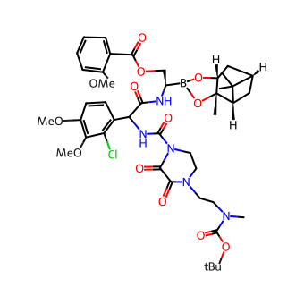 COc1ccccc1C(=O)OC[C@H](NC(=O)C(NC(=O)N1CCN(CCN(C)C(=O)OC(C)(C)C)C(=O)C1=O)c1ccc(OC)c(OC)c1Cl)B1O[C@@H]2C[C@@H]3C[C@@H](C3(C)C)[C@]2(C)O1